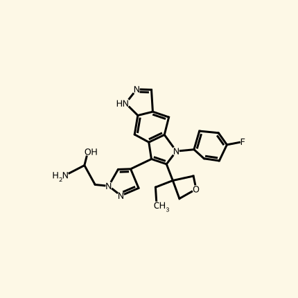 CCC1(c2c(-c3cnn(CC(N)O)c3)c3cc4[nH]ncc4cc3n2-c2ccc(F)cc2)COC1